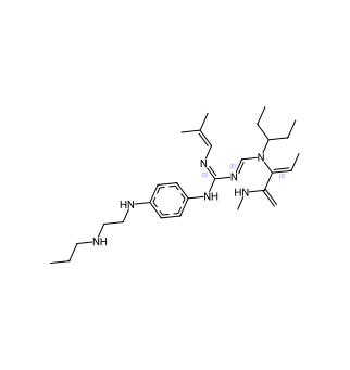 C=C(NC)/C(=C/C)N(/C=N/C(=N\C=C(C)C)Nc1ccc(NCCNCCC)cc1)C(CC)CC